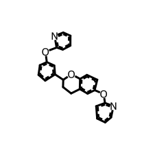 c1ccc(Oc2cccc(C3CCc4cc(Oc5ccccn5)ccc4O3)c2)nc1